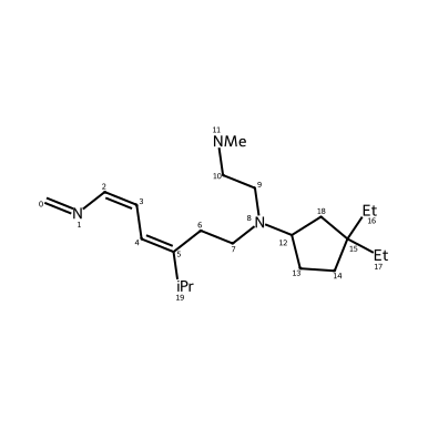 C=N/C=C\C=C(/CCN(CCNC)C1CCC(CC)(CC)C1)C(C)C